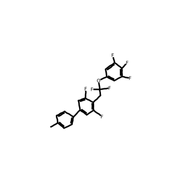 Cc1ccc(-c2cc(F)c(CC(F)(F)Oc3cc(F)c(F)c(F)c3)c(F)c2)cc1